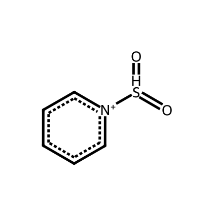 O=[SH](=O)[n+]1ccccc1